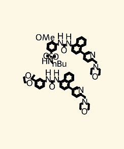 CC1(c2cccc(NC(=O)Nc3ccc(-c4ccc(CN5CCOCC5)nc4)c4ccccc34)c2)OCCO1.CCCCNS(=O)(=O)c1ccc(OC)c(NC(=O)Nc2ccc(-c3ccc(CN4CCOCC4)nc3)c3ccccc23)c1